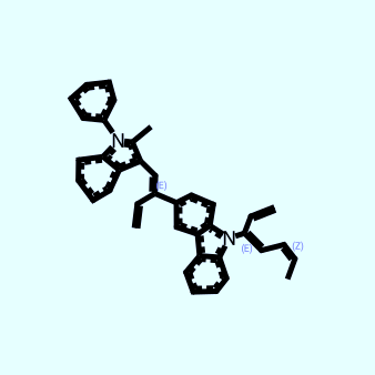 C=C/C(=C\c1c(C)n(-c2ccccc2)c2ccccc12)c1ccc2c(c1)c1ccccc1n2/C(C=C)=C/C=C\C